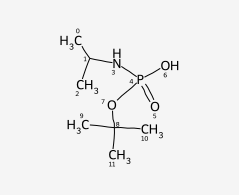 CC(C)NP(=O)(O)OC(C)(C)C